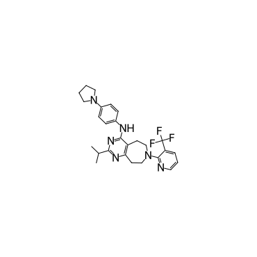 CC(C)c1nc2c(c(Nc3ccc(N4CCCC4)cc3)n1)CCN(c1ncccc1C(F)(F)F)CC2